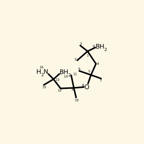 BC(C)(C)CC(C)(C)OC(C)(C)CC(B)(C)N